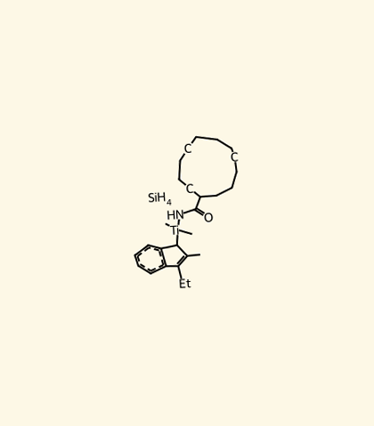 CCC1=C(C)[CH]([Ti]([CH3])([CH3])[NH]C(=O)C2CCCCCCCCCCC2)c2ccccc21.[SiH4]